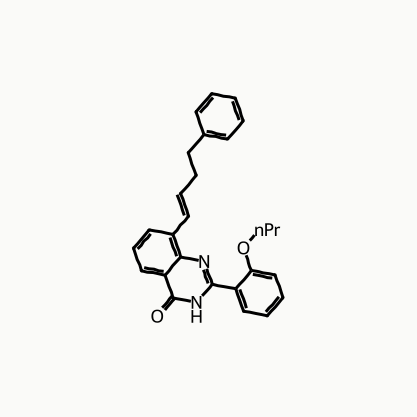 CCCOc1ccccc1-c1nc2c(C=CCCc3ccccc3)cccc2c(=O)[nH]1